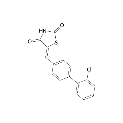 O=C1NC(=O)C(=Cc2ccc(-c3ccccc3Cl)cc2)S1